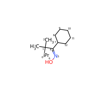 CC(C)C(C)(C)/C(=N\O)C1CCCCC1